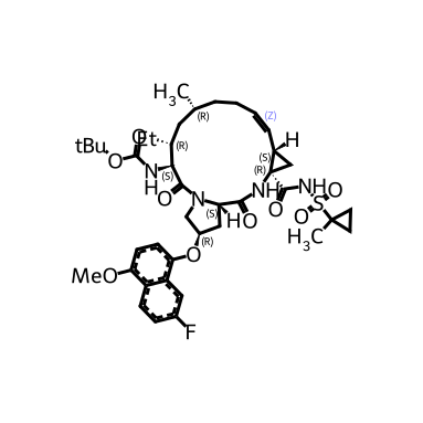 CC[C@@H]1C[C@H](C)CC/C=C\[C@@H]2C[C@@]2(C(=O)NS(=O)(=O)C2(C)CC2)NC(=O)[C@@H]2C[C@@H](Oc3ccc(OC)c4ccc(F)cc34)CN2C(=O)[C@H]1NC(=O)OC(C)(C)C